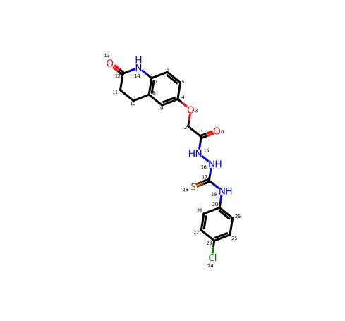 O=C(COc1ccc2c(c1)CCC(=O)N2)NNC(=S)Nc1ccc(Cl)cc1